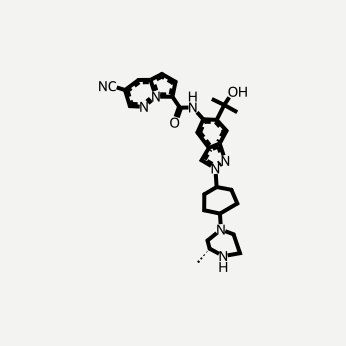 C[C@@H]1CN(C2CCC(n3cc4cc(NC(=O)c5ccc6cc(C#N)cnn56)c(C(C)(C)O)cc4n3)CC2)CCN1